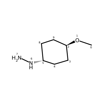 CO[C@H]1CC[C@H](NN)CC1